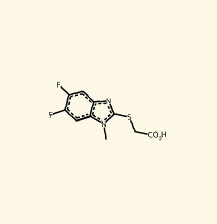 Cn1c(SCC(=O)O)nc2cc(F)c(F)cc21